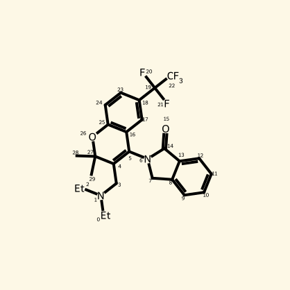 CCN(CC)CC1=C(N2Cc3ccccc3C2=O)c2cc(C(F)(F)C(F)(F)F)ccc2OC1(C)C